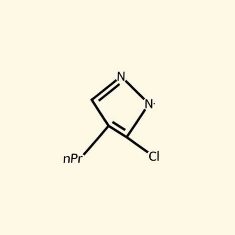 CCCC1=C(Cl)[N]N=C1